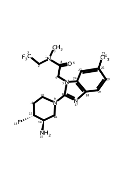 CN(CC(F)(F)F)C(=O)Cn1c(N2CC[C@@H](F)[C@H](N)C2)nc2ccc(C(F)(F)F)cc21